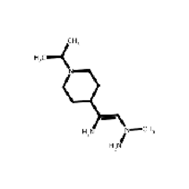 CC(C)N1CCC(/C(N)=C/N(C)N)CC1